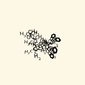 C=C1C(C)CC(CC[C@@H](C)OC(C)COC(=O)C(C)(C)C)OC1C[C@@H]1OC2CC(O[Si](c3ccccc3)(c3ccccc3)C(C)(C)C)C(CCO[Si](c3ccccc3)(c3ccccc3)C(C)(C)C)O[C@H]2[C@H](C)C1O[Si](CC)(CC)CC